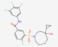 O=C(Nc1cc(F)c(F)c(F)c1)c1ccc(F)c(S(=O)(=O)N2CCCCC(O)(C3CC3)CC2)c1